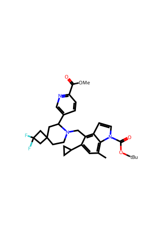 COC(=O)c1ccc(C2CC3(CCN2Cc2c(C4CC4)cc(C)c4c2ccn4C(=O)OC(C)(C)C)CC(F)(F)C3)cn1